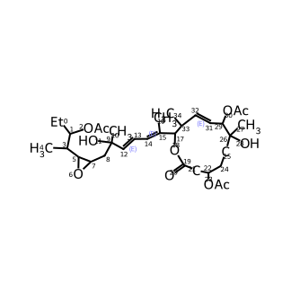 CCC(OC(C)=O)C(C)C1OC1CC(C)(O)/C=C/C=C(\C)C1OC(=O)CC(OC(C)=O)CCC(C)(O)C(OC(C)=O)/C=C/C1C